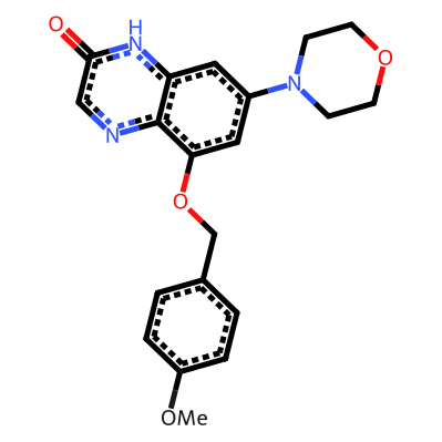 COc1ccc(COc2cc(N3CCOCC3)cc3[nH]c(=O)cnc23)cc1